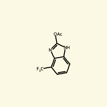 CC(=O)Oc1nc2c(C(F)(F)F)cccc2[nH]1